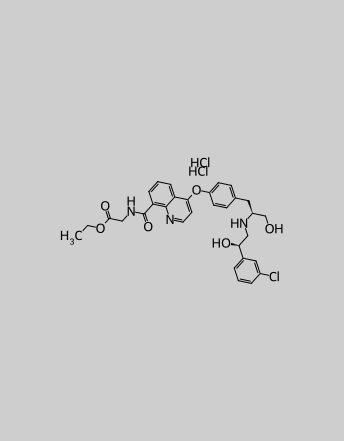 CCOC(=O)CNC(=O)c1cccc2c(Oc3ccc(C[C@@H](CO)NC[C@H](O)c4cccc(Cl)c4)cc3)ccnc12.Cl.Cl